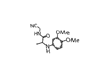 COc1ccc(NC(C)C(=O)NCC#N)cc1OC